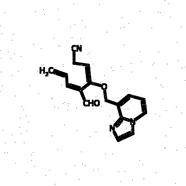 C=C/C=C(C=O)\C(=C/CC#N)OCc1cccn2ccnc12